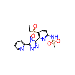 CCS(=O)(=O)c1ccc(NS(C)(=O)=O)nc1-c1nnc(-c2ccccn2)n1C